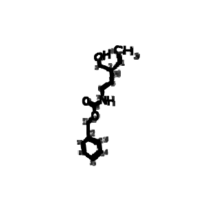 CC[C@H](CO)CCNC(=O)OCc1ccccc1